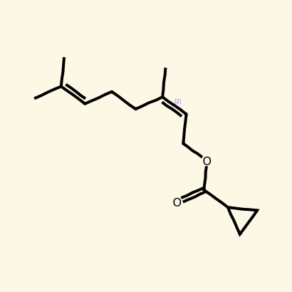 CC(C)=CCC/C(C)=C\COC(=O)C1CC1